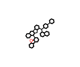 c1ccc(-c2ccc(C(c3cccc4c3Cc3c-4cc4ccccc4c3-c3cccc4c3oc3ccccc34)c3cccc4ccccc34)cc2)cc1